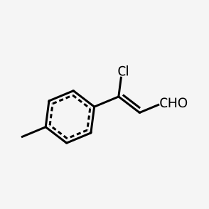 Cc1ccc(C(Cl)=CC=O)cc1